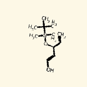 C=C[C@@H](/C=C/O)O[Si](C)(C)C(C)(C)C